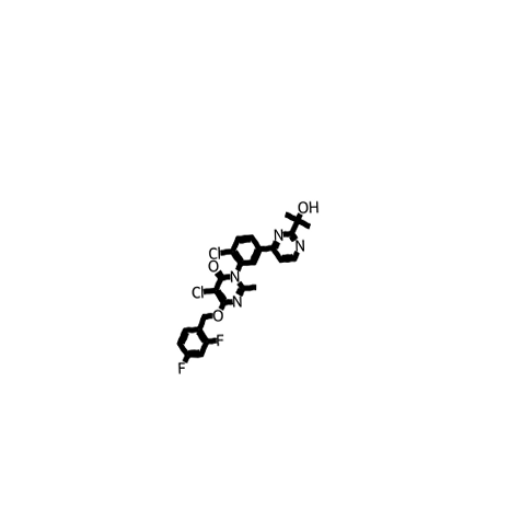 Cc1nc(OCc2ccc(F)cc2F)c(Cl)c(=O)n1-c1cc(-c2ccnc(C(C)(C)O)n2)ccc1Cl